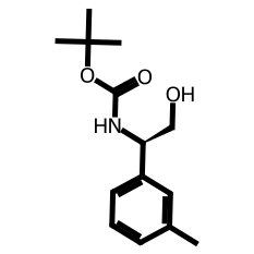 Cc1cccc([C@H](CO)NC(=O)OC(C)(C)C)c1